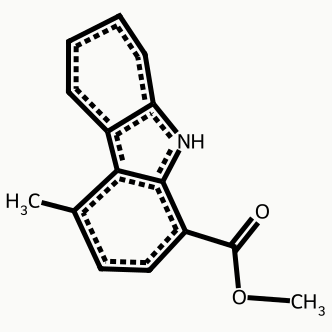 COC(=O)c1ccc(C)c2c1[nH]c1ccccc12